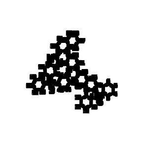 S=P(c1ccccc1)(c1ccccc1)c1ccc2cc(-c3ccc4c5c6ccccc6ccc5c5nc6ccc(P(=S)(c7ccccc7)c7ccccc7)cc6n5c4c3)ccc2c1